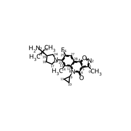 Cc1noc2c1c(=O)n(C1CC1)c1c(C)c(N3CCC(C(C)(C)N)C3)c(F)cc21